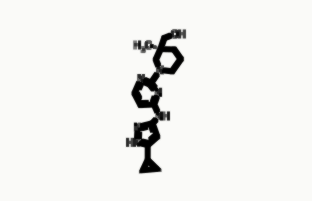 C[C@]1(CO)CCCN(c2nccc(Nc3cc(C4CC4)[nH]n3)n2)C1